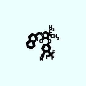 CC1(C)CN(Cc2ccc3ccccc3n2)C(=O)C1Oc1ccc(C#N)c(C(F)(F)F)c1